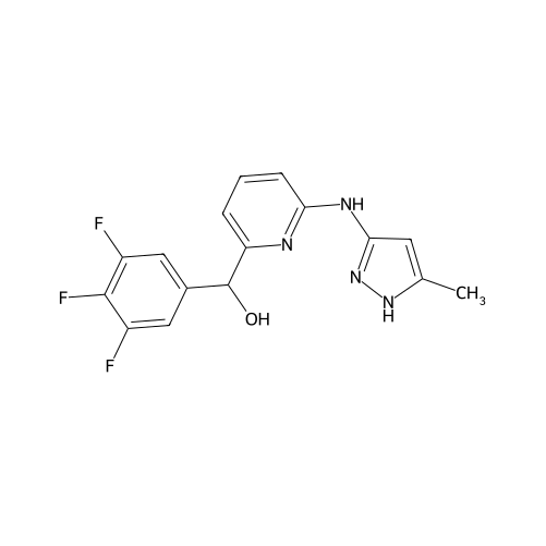 Cc1cc(Nc2cccc(C(O)c3cc(F)c(F)c(F)c3)n2)n[nH]1